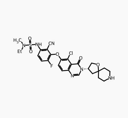 CCN(C)S(=O)(=O)Nc1ccc(F)c(Oc2ccc3ncn([C@@H]4COC5(CCNCC5)C4)c(=O)c3c2Cl)c1C#N